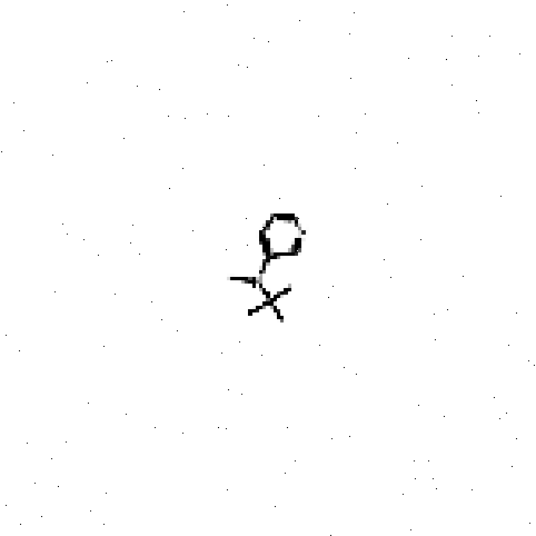 CN(c1cccnc1)C(C)(C)C